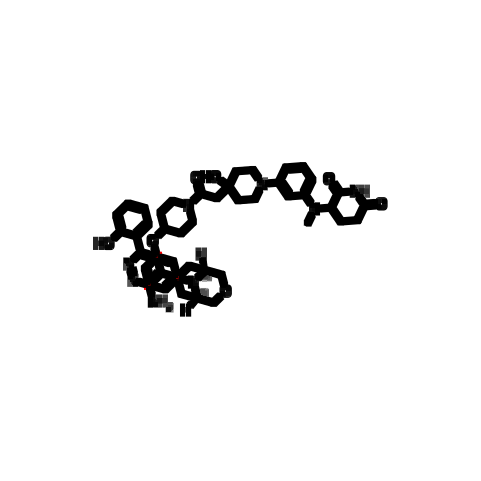 CN(c1cccc(N2CCC(O)(CC(=O)N3CCC(Oc4cccc(N5[C@@H]6COC[C@H]5CN(c5cc(-c7ccccc7O)nnc5N)C6)c4)CC3)CC2)c1)C1CCC(=O)NC1=O